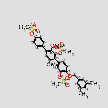 COc1cc(-c2ccc(OS(C)(=O)=O)cc2)c(OC)c(OS(C)(=O)=O)c1-c1ccc(OCc2cc(C)cc(C)c2)c(OS(C)(=O)=O)c1